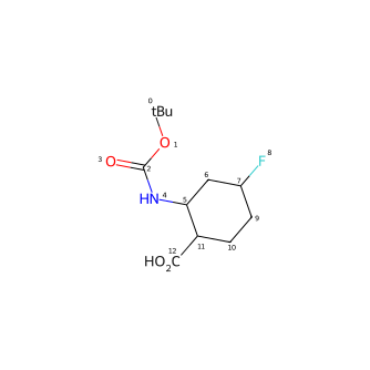 CC(C)(C)OC(=O)NC1CC(F)CCC1C(=O)O